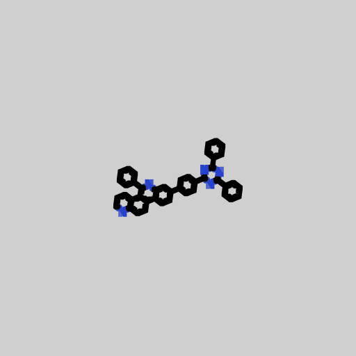 c1ccc(-c2nc(-c3ccccc3)nc(-c3ccc(-c4ccc5c(c4)nc(-c4ccccc4)c4c6cccnc6ccc54)cc3)n2)cc1